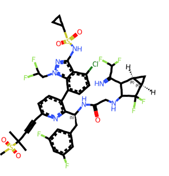 CC(C)(C#Cc1ccc(-c2ccc(Cl)c3c(NS(=O)(=O)C4CC4)nn(CC(F)F)c23)c([C@H](Cc2cc(F)cc(F)c2)NC(=O)CNC2C(C(=N)C(F)F)[C@H]3C[C@H]3C2(F)F)n1)S(C)(=O)=O